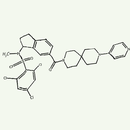 CN(C1CCc2ccc(C(=O)N3CCC4(CC3)CCN(c3ccncc3)CC4)cc21)S(=O)(=O)c1c(Cl)cc(Cl)cc1Cl